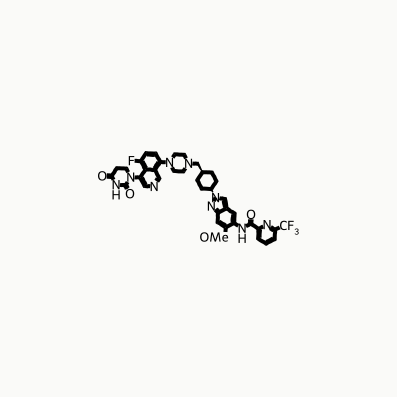 COc1cc2nn([C@H]3CC[C@H](CN4CCN(c5ccc(F)c6c(N7CCC(=O)NC7=O)cncc56)CC4)CC3)cc2cc1NC(=O)c1cccc(C(F)(F)F)n1